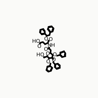 O=C(O)CCC(NC(=O)CC1OC(CO)C(OCc2ccccc2)C(OCc2ccccc2)C1OCc1ccccc1)C(=O)OC(Cc1ccccc1)c1ccccc1